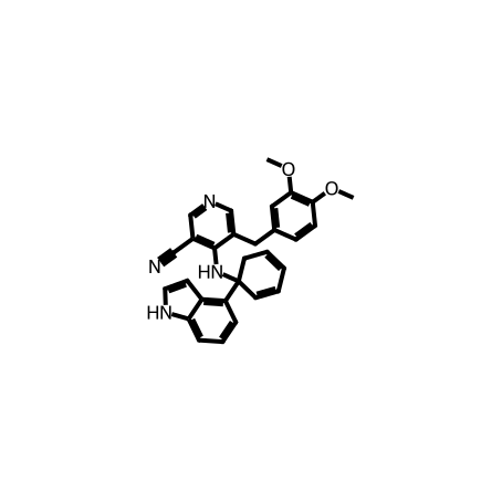 COc1ccc(Cc2cncc(C#N)c2NC2(c3cccc4[nH]ccc34)C=CC=CC2)cc1OC